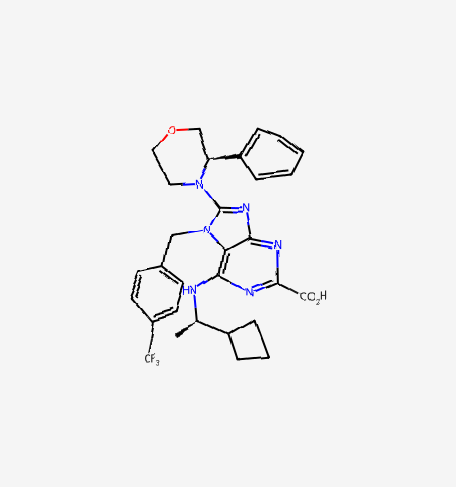 C[C@@H](Nc1nc(C(=O)O)nc2nc(N3CCOC[C@H]3c3ccccc3)n(Cc3ccc(C(F)(F)F)cc3)c12)C1CCC1